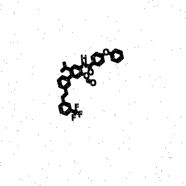 CC(C)c1cc(NC(=O)c2ccc(Oc3ccccc3)cc2)c(OC=O)cc1-c1cccc(CCc2cccc(C(F)(F)F)c2)c1